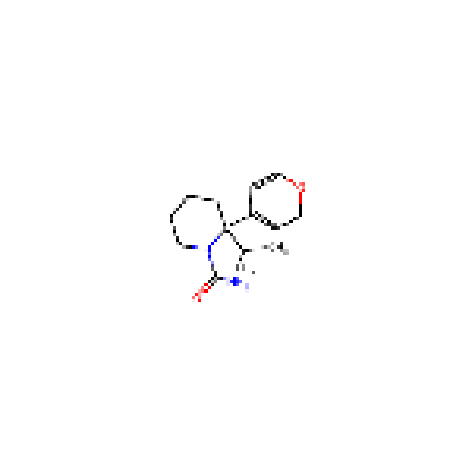 CC(C)C1(C2=CCOC=C2)CCCCN1C(N)=O